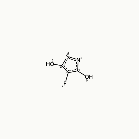 Oc1nsc(O)c1F